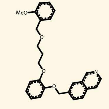 COc1ccccc1COCCCOc1ccccc1OCc1ccc2ccncc2c1